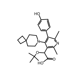 Cc1nc(C)c(C(OC(C)(C)C)C(=O)O)c(N2CCC3(CCC3)CC2)c1-c1ccc(O)cc1